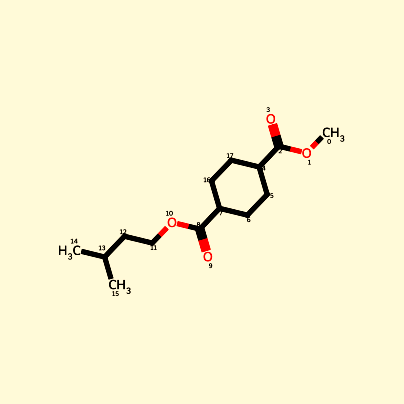 COC(=O)C1CCC(C(=O)OCCC(C)C)CC1